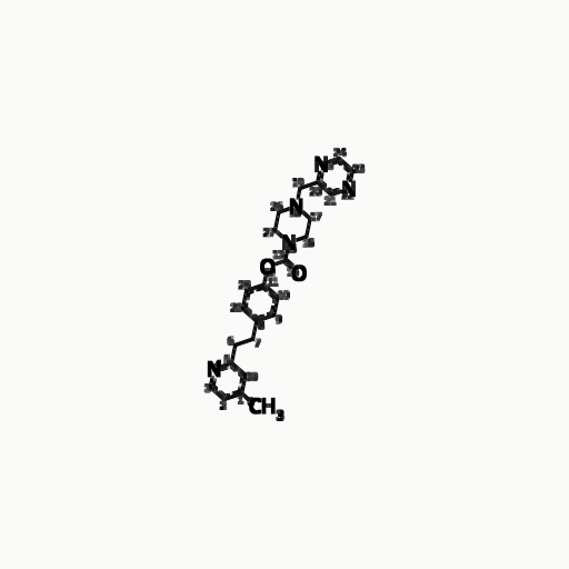 Cc1ccnc(CCc2ccc(OC(=O)N3CCN(Cc4cnccn4)CC3)cc2)c1